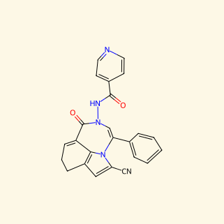 N#Cc1cc2c3n1C(c1ccccc1)=CN(NC(=O)c1ccncc1)C(=O)C3=CCC2